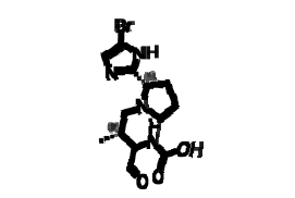 C[C@H](CN1CCC[C@H]1c1ncc(Br)[nH]1)C(C=O)NC(=O)O